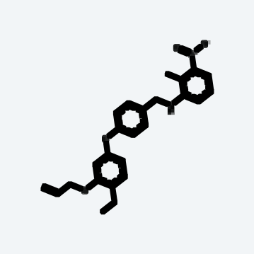 C=CCOc1cc(Oc2ccc(CNc3cccc([N+](=O)[O-])c3C)cc2)ccc1CC